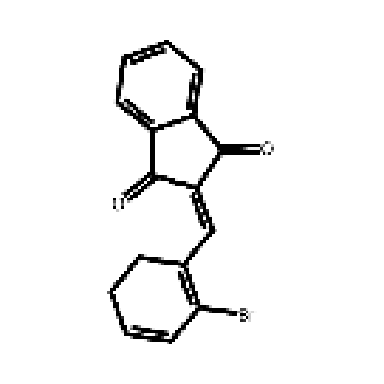 O=C1C(=CC2=C(Br)C=CCC2)C(=O)c2ccccc21